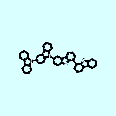 c1ccc2c(c1)sc1c(-c3cccc4c3oc3ccc(-n5c6ccccc6c6cc(-n7c8ccccc8c8ccccc87)ccc65)cc34)cccc12